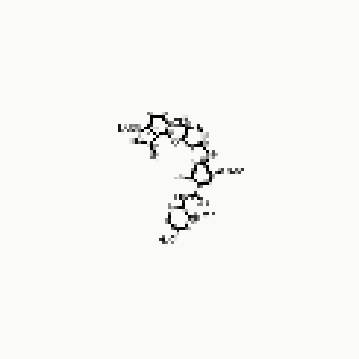 COc1cc(C(=O)NC2CCN(C)C[C@@H]2OC)c(F)cc1Nc1ncc(Cl)c(Oc2cccc3c2C(=O)N[C@H]3C)n1